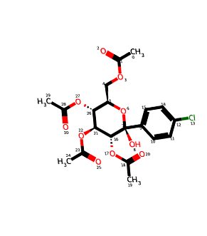 CC(=O)OC[C@H]1O[C@](O)(c2ccc(Cl)cc2)[C@H](OC(C)=O)[C@@H](OC(C)=O)[C@@H]1OC(C)=O